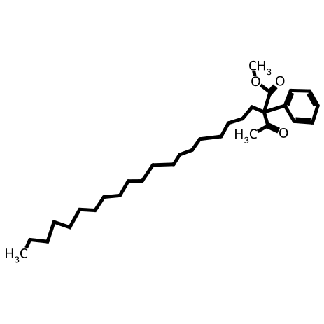 CCCCCCCCCCCCCCCCCCCCC(C(C)=O)(C(=O)OC)c1ccccc1